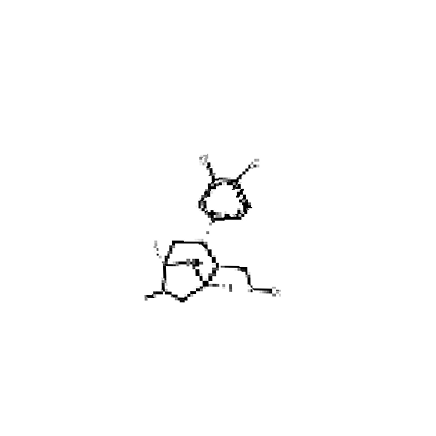 CCOC[C@@H]1[C@@H](c2ccc(Cl)c(Cl)c2)C[C@H]2N[C@@H]1CC2C